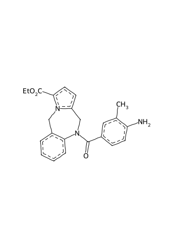 CCOC(=O)c1ccc2n1Cc1ccccc1N(C(=O)c1ccc(N)c(C)c1)C2